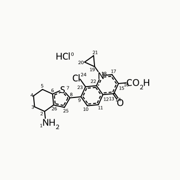 Cl.NC1CCCc2sc(-c3ccc4c(=O)c(C(=O)O)cn(C5CC5)c4c3Cl)cc21